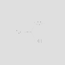 CSC(O)C#N